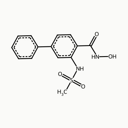 CS(=O)(=O)Nc1cc(-c2ccccc2)ccc1C(=O)NO